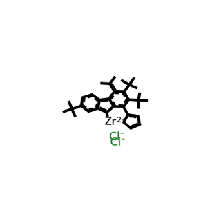 CC(C)=c1c(C(C)(C)C)c(C(C)(C)C)c(C2=CC=CC2)c2c1=c1ccc(C(C)(C)C)cc1=[C]2[Zr+2].[Cl-].[Cl-]